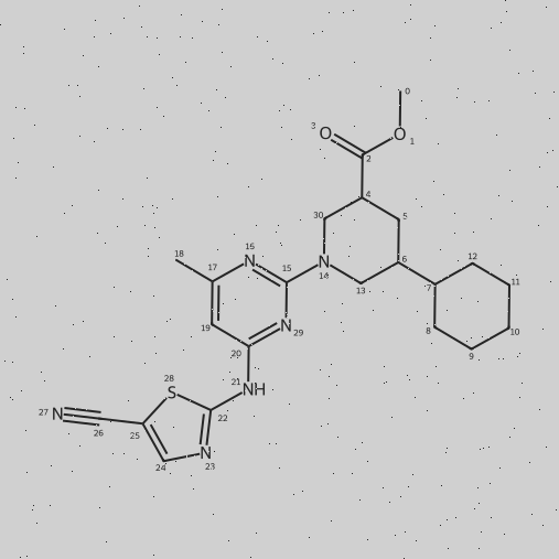 COC(=O)C1CC(C2CCCCC2)CN(c2nc(C)cc(Nc3ncc(C#N)s3)n2)C1